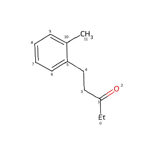 CCC(=O)CCc1ccccc1C